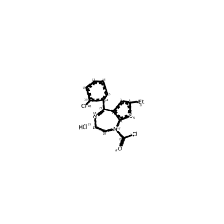 CCc1cc2c(s1)N(C(=O)Cl)CCN=C2c1ccccc1Cl.Cl